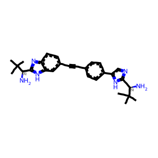 CC(C)(C)[C@H](N)c1ncc(-c2ccc(C#Cc3ccc4nc([C@@H](N)C(C)(C)C)[nH]c4c3)cc2)[nH]1